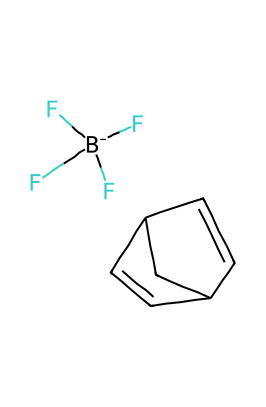 C1=CC2C=CC1C2.F[B-](F)(F)F